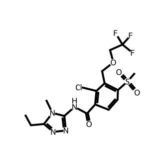 CCc1nnc(NC(=O)c2ccc(S(C)(=O)=O)c(COCC(F)(F)F)c2Cl)n1C